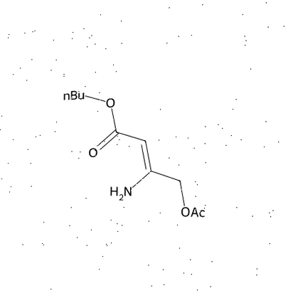 CCCCOC(=O)C=C(N)COC(C)=O